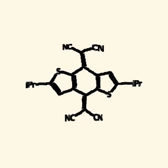 CC(C)c1cc2c(=C(C#N)C#N)c3sc(C(C)C)cc3c(=C(C#N)C#N)c2s1